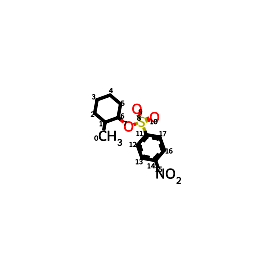 CC1CCCCC1OS(=O)(=O)c1ccc([N+](=O)[O-])cc1